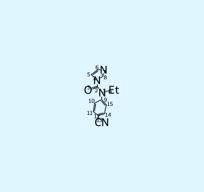 CCN(C(=O)n1ccnc1)c1ccc(C#N)cc1